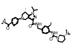 CC(C)n1nc(C(=O)NCc2ccc(NC(=O)N3CCC[C@@H](N(C)C)C3)c(F)c2)c2c1[C@@H](C)CN(c1ccc(C(=O)N(C)C)cc1)C2